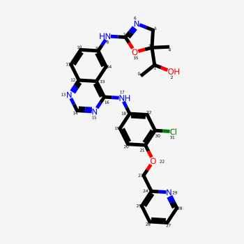 CC(O)C1(C)CN=C(Nc2ccc3ncnc(Nc4ccc(OCc5ccccn5)c(Cl)c4)c3c2)O1